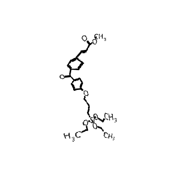 CCO[Si](CCCOc1ccc(C(=O)c2ccc(C=CC(=O)OC)cc2)cc1)(OCC)OCC